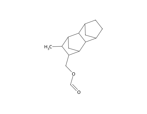 CC1C(COC=O)C2CC1C1C3CCC(C3)C21